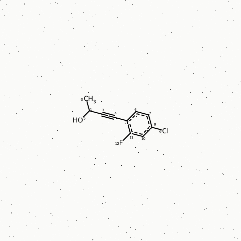 CC(O)C#Cc1ccc(Cl)cc1F